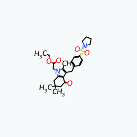 CCOC(=O)Cn1c(C)c(Cc2ccc(S(=O)(=O)N3CCCC3)cc2)c2c1CC(C)(C)CC2=O